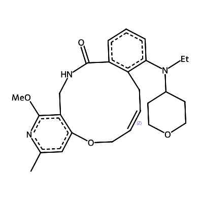 CCN(c1cccc2c1C/C=C\COc1cc(C)nc(OC)c1CNC2=O)C1CCOCC1